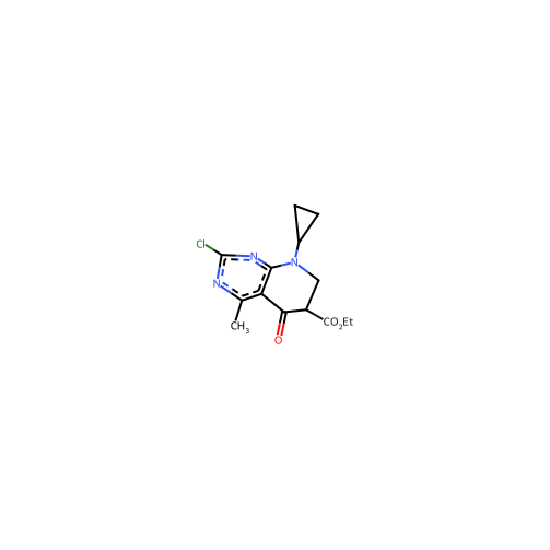 CCOC(=O)C1CN(C2CC2)c2nc(Cl)nc(C)c2C1=O